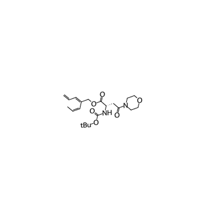 C=C/C=C(\C=C/C)COC(=O)[C@H](CC(=O)N1CCOCC1)NC(=O)OC(C)(C)C